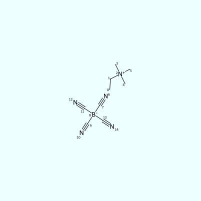 CC[N+](C)(C)C.N#C[B-](C#N)(C#N)C#N